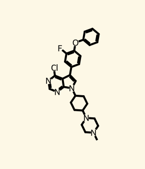 CN1CCN(C2CCC(n3cc(-c4ccc(Oc5ccccc5)c(F)c4)c4c(Cl)ncnc43)CC2)CC1